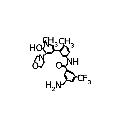 Cc1ccc(NC(=O)c2cc(CN)cc(C(F)(F)F)c2)cc1C1=CN(C)C(O)C(N2CCOCC2)=C1